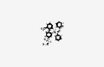 CNC.Cc1cccc(C)c1-c1ccccc1.c1ccc(N=Nc2ccccc2)cc1